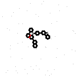 c1ccc(-c2ccccc2N(c2ccc(-c3ccc4sc5ccccc5c4c3)cc2)c2cccc(-c3ccc4ccccc4c3)c2)cc1